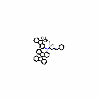 CCCC(C/C=C/C1CC=CCC1)N(C1=CCCC2C1c1ccccc1C21c2ccccc2C2C=CCCC21)c1ccc2c(c1)C(C)(C)c1ccccc1-2